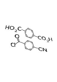 N#Cc1ccc(C(=O)Cl)cc1.O=C(O)c1ccc(C(=O)O)cc1